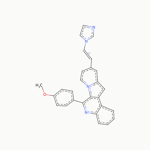 COc1ccc(-c2nc3ccccc3c3cc4cc(/C=C/n5ccnc5)ccn4c23)cc1